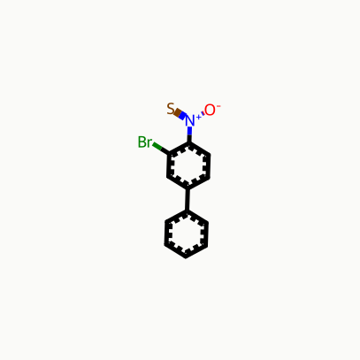 [O-][N+](=S)c1ccc(-c2ccccc2)cc1Br